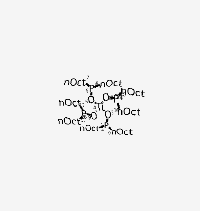 CCCCCCCCP(CCCCCCCC)[O][Ti]([O]P(CCCCCCCC)CCCCCCCC)([O]P(CCCCCCCC)CCCCCCCC)[O]P(CCCCCCCC)CCCCCCCC